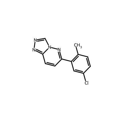 Cc1ccc(Cl)cc1-c1ccc2nncn2n1